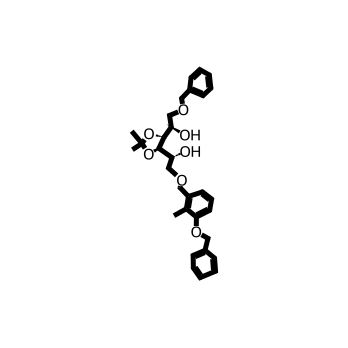 Cc1c(COC[C@@H](O)[C@H]2OC(C)(C)O[C@@H]2[C@H](O)COCc2ccccc2)cccc1OCc1ccccc1